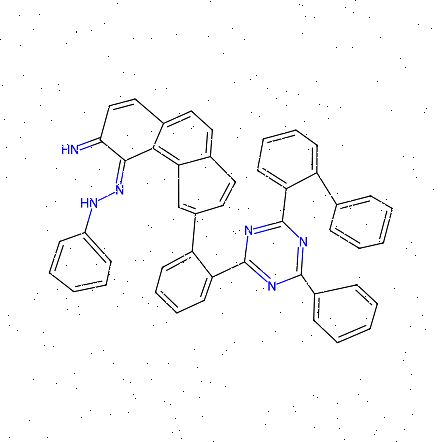 N=C1C=Cc2ccc3ccc(-c4ccccc4-c4nc(-c5ccccc5)nc(-c5ccccc5-c5ccccc5)n4)cc3c2/C1=N/Nc1ccccc1